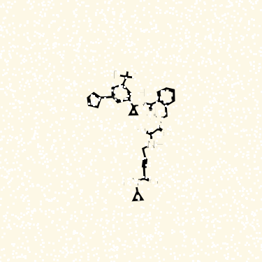 O=C(C#CCNC(=O)C(=O)NCc1ccccc1C(=O)NC1(c2cc(C3=CC=CC3)cc(C(F)(F)F)c2)CC1)NC1CC1